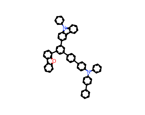 c1ccc(-c2ccc(N(c3ccccc3)c3ccc(-c4ccc(-c5cc(-c6ccc7c(c6)c6ccccc6n7-c6ccccc6)cc(-c6cccc7c6oc6ccccc67)c5)cc4)cc3)cc2)cc1